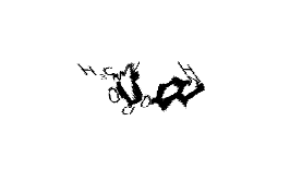 Cn1ncc(Oc2ccc3[nH]ccc3c2)c(Cl)c1=O